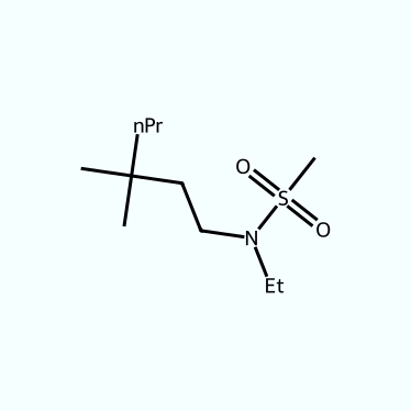 CCCC(C)(C)CCN(CC)S(C)(=O)=O